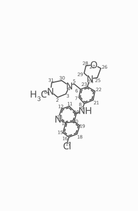 CN1CCN(Cc2cc(Nc3ccnc4cc(Cl)ccc34)ccc2N2CCOCC2)CC1